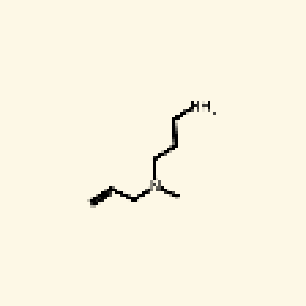 C=CCN(C)CCCN